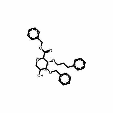 O=C(OCc1ccccc1)C1OCC(O)[C@H](OCc2ccccc2)[C@@H]1OCCCc1ccccc1